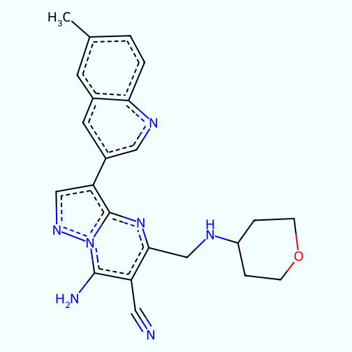 Cc1ccc2ncc(-c3cnn4c(N)c(C#N)c(CNC5CCOCC5)nc34)cc2c1